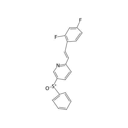 [O-][S@@+](c1ccccc1)c1ccc(/C=C/c2ccc(F)cc2F)nc1